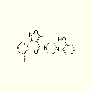 Cc1onc(-c2cccc(F)c2)c1C(=O)N1CCN(c2ccccc2O)CC1